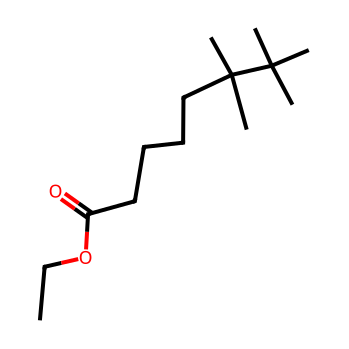 CCOC(=O)CCCCC(C)(C)C(C)(C)C